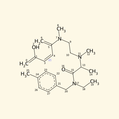 C=C(O)/C=C\C(=C)N(C)CCN(C)C(C)C(=O)N(CC)Cc1ccc(C)cc1